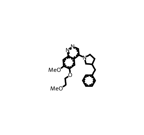 COCCOc1cc2c(N3CCC(Cc4ccccc4)C3)cnnc2cc1OC